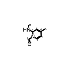 CNC1C=C(C)C=CN1C=O